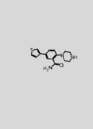 NC(=O)c1cc(-c2ccsc2)ccc1N1CCNCC1